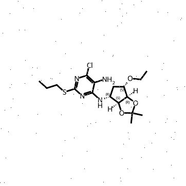 CCCSc1nc(Cl)c(N)c(N[C@@H]2C[C@H](OCC)[C@H]3OC(C)(C)O[C@H]32)n1